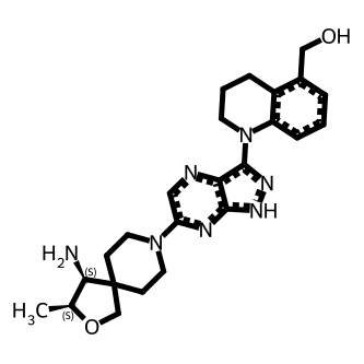 C[C@@H]1OCC2(CCN(c3cnc4c(N5CCCc6c(CO)cccc65)n[nH]c4n3)CC2)[C@@H]1N